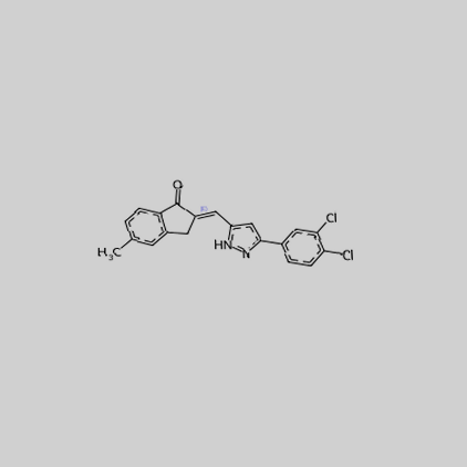 Cc1ccc2c(c1)C/C(=C\c1cc(-c3ccc(Cl)c(Cl)c3)n[nH]1)C2=O